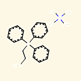 CCCCCCCCCCCC[B-](c1ccccc1)(c1ccccc1)c1ccccc1.CCCC[N+](CCCC)(CCCC)CCCC